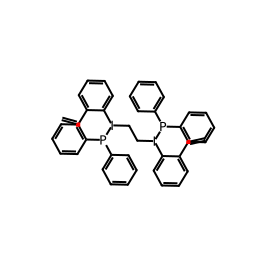 C=Cc1ccccc1I(CCI(c1ccccc1C=C)P(c1ccccc1)c1ccccc1)P(c1ccccc1)c1ccccc1